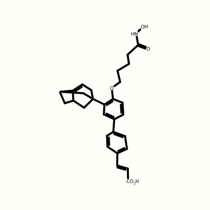 O=C(O)/C=C/c1ccc(-c2ccc(OCCCCC(=O)NO)c(C34CC=C5C(CC5C3)C4)c2)cc1